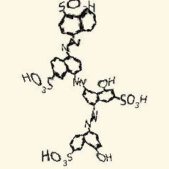 O=S(=O)(O)c1ccc2c(N=Nc3ccc(N=Nc4ccc(N=Nc5ccc(S(=O)(=O)O)c6ccccc56)c5ccc(S(=O)(=O)O)cc45)c4c(O)cc(S(=O)(=O)O)cc34)ccc(O)c2c1